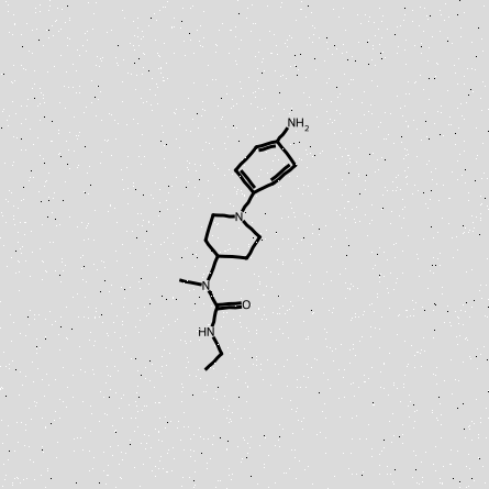 CCNC(=O)N(C)C1CCN(c2ccc(N)cc2)CC1